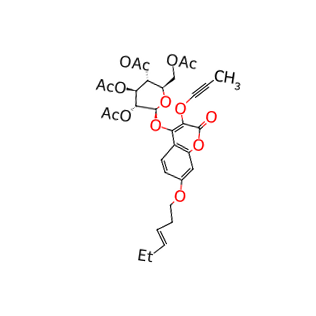 CC#COc1c(O[C@@H]2O[C@H](COC(C)=O)[C@@H](OC(C)=O)[C@H](OC(C)=O)[C@H]2OC(C)=O)c2ccc(OCC/C=C/CC)cc2oc1=O